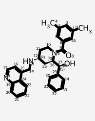 Cc1cc(C)cc(C(=O)N2CC[C@@H](NCc3ccnc4ccccc34)C[C@@H]2[C@@H](O)c2ccccc2)c1